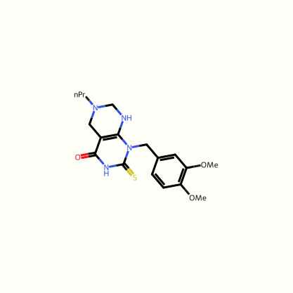 CCCN1CNc2c(c(=O)[nH]c(=S)n2Cc2ccc(OC)c(OC)c2)C1